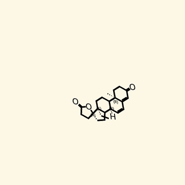 CC[C@]12CCC3[C@@H](C=CC4=CC(=O)CC[C@@]43C)C1CC[C@@]21CCC(=O)O1